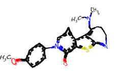 COc1ccc(-n2ccc3c4c(sc3c2=O)=NCCC=4N(C)C)cc1